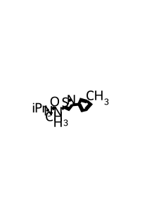 Cc1cccc(-c2cc(NC(=O)N(C)C(C)C)sn2)c1